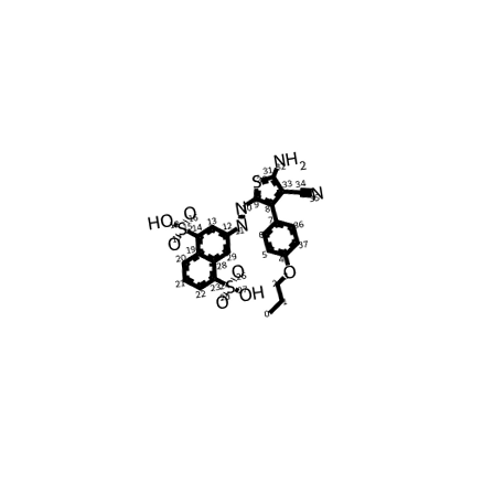 CCCOc1ccc(-c2c(/N=N/c3cc(S(=O)(=O)O)c4cccc(S(=O)(=O)O)c4c3)sc(N)c2C#N)cc1